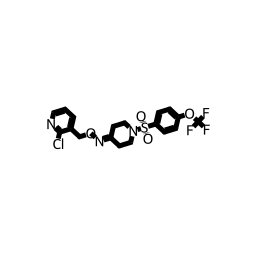 O=S(=O)(c1ccc(OC(F)(F)F)cc1)N1CCC(=NOCc2cccnc2Cl)CC1